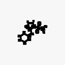 CN(C)S(=O)(=O)n1ccnc1CC1CCCCC1